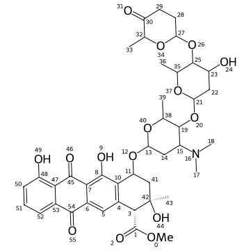 COC(=O)[C@@H]1c2cc3c(c(O)c2C(OC2CC(N(C)C)C(OC4CC(O)C(OC5CCC(=O)C(C)O5)C(C)O4)C(C)O2)C[C@@]1(C)O)C(=O)c1c(O)cccc1C3=O